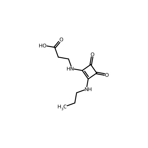 CCCNc1c(NCCC(=O)O)c(=O)c1=O